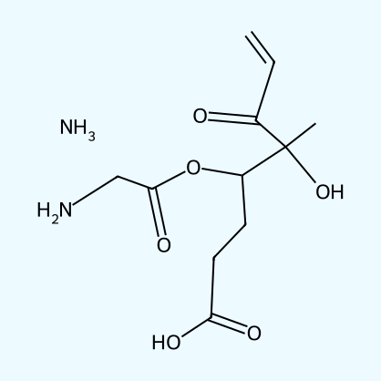 C=CC(=O)C(C)(O)C(CCC(=O)O)OC(=O)CN.N